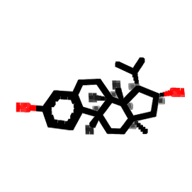 CC(C)[C@H]1[C@H]2[C@@H]3CCc4cc(O)ccc4[C@H]3CC[C@]2(C)C[C@H]1O